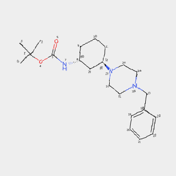 CC(C)(C)OC(=O)N[C@@H]1CCC[C@@H](N2CCN(Cc3ccccc3)CC2)C1